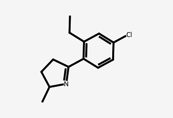 CCc1cc(Cl)ccc1C1=NC(C)CC1